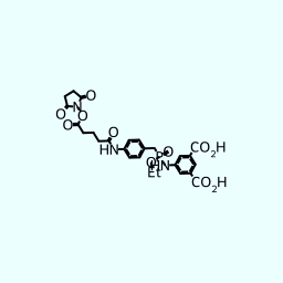 CCOP(=O)(Cc1ccc(NC(=O)CCCC(=O)ON2C(=O)CCC2=O)cc1)Nc1cc(C(=O)O)cc(C(=O)O)c1